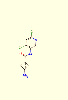 NC12CC(C(=O)Nc3cnc(Cl)cc3Cl)(C1)C2